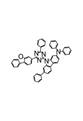 c1ccc(-c2ccc3c4ccc(N(c5ccccc5)c5ccccc5)cc4n(-c4nc(-c5ccccc5)nc(-c5ccc6c(c5)oc5ccccc56)n4)c3c2)cc1